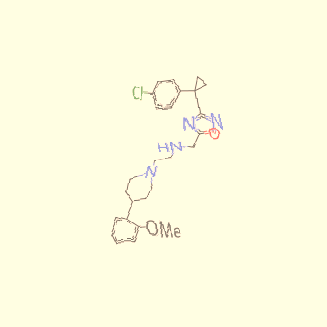 COc1ccccc1C1CCN(CCNCc2nc(C3(c4ccc(Cl)cc4)CC3)no2)CC1